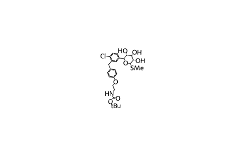 CS[C@H]1O[C@@H](c2ccc(Cl)c(Cc3ccc(OCCNC(=O)OC(C)(C)C)cc3)c2)[C@H](O)[C@@H](O)[C@@H]1O